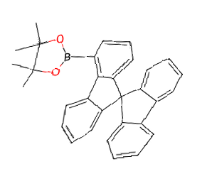 CC1(C)OB(c2cccc3c2-c2ccccc2C32c3ccccc3-c3ccccc32)OC1(C)C